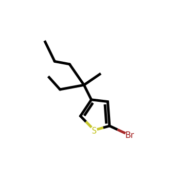 CCCC(C)(CC)c1csc(Br)c1